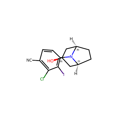 N#Cc1ccc(N2[C@@H]3CC[C@H]2C[C@@H](O)C3)c(I)c1Cl